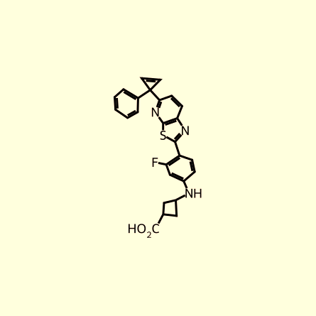 O=C(O)C1CC(Nc2ccc(-c3nc4ccc(C5(c6ccccc6)C=C5)nc4s3)c(F)c2)C1